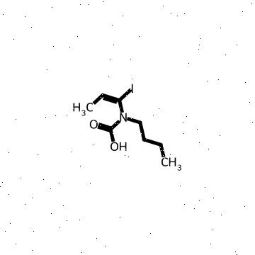 C/C=C(/I)N(CCCC)C(=O)O